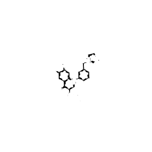 O=C(O)c1cn(-c2cccc(Cn3ccnc3)c2)c2cc(F)c(F)cc2c1=O